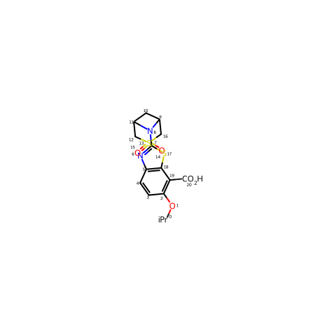 CC(C)Oc1ccc2nc(N3C4CC3CS(=O)(=O)C4)sc2c1C(=O)O